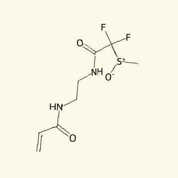 C=CC(=O)NCCNC(=O)C(F)(F)[S+](C)[O-]